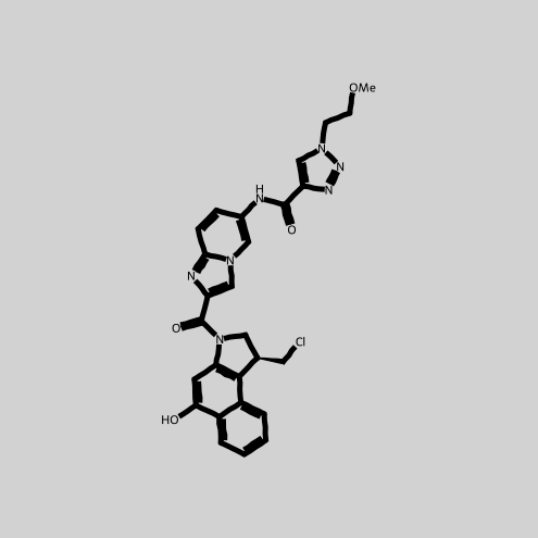 COCCn1cc(C(=O)Nc2ccc3nc(C(=O)N4C[C@@H](CCl)c5c4cc(O)c4ccccc54)cn3c2)nn1